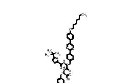 CCCCCCCOc1ccc(-c2cnc(-c3ccc(C[C@H](NC(=O)c4ccc(C(C)(C)C)s4)C(=O)N[C@@H](Cc4ccccc4)C(=O)O)cc3)nc2)cc1